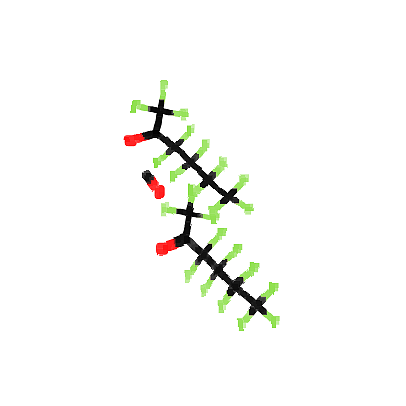 C=O.O=C(C(F)(F)F)C(F)(F)C(F)(F)C(F)(F)C(F)(F)F.O=C(C(F)(F)F)C(F)(F)C(F)(F)C(F)(F)C(F)(F)F